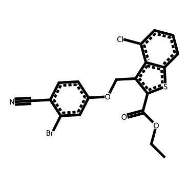 CCOC(=O)c1sc2cccc(Cl)c2c1COc1ccc(C#N)c(Br)c1